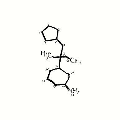 CC(C)(CC1CCCC1)[C@@H]1CCCC(N)C1